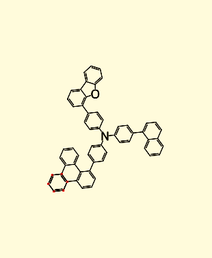 c1ccc(-c2ccccc2-c2c(-c3ccccc3)cccc2-c2ccc(N(c3ccc(-c4cccc5ccccc45)cc3)c3ccc(-c4cccc5c4oc4ccccc45)cc3)cc2)cc1